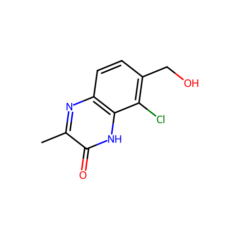 Cc1nc2ccc(CO)c(Cl)c2[nH]c1=O